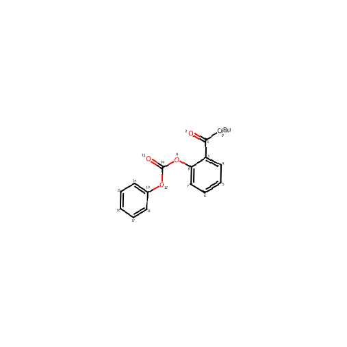 CC(C)COC(=O)c1ccccc1OC(=O)Oc1ccccc1